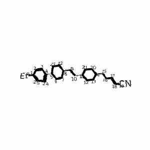 CCc1ccc([C@H]2CC[C@H](CC[C@H]3CC[C@H](CC/C=C/C#N)CC3)CC2)cc1